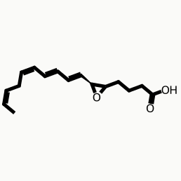 C/C=C\C\C=C/C=C/C=C/[C@@H]1OC1CCCC(=O)O